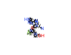 N#CCC[C@@H](Cn1cc(-c2ncnc3[nH]ccc23)cn1)N1CCC(Oc2cc(CN3CCC[C@H]3CO)cc(C(F)(F)F)n2)CC1